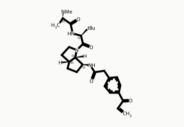 C=CC(=O)c1ccc(CC(=O)N[C@H]2CC[C@@H]3CCN(C(=O)[C@@H](NC(=O)[C@H](C)NC)C(C)(C)C)[C@@H]32)cc1